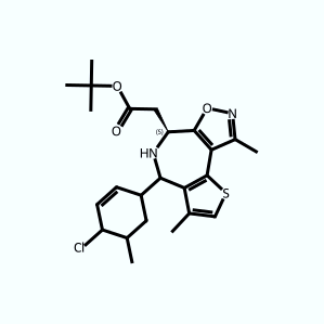 Cc1csc2c1C(C1C=CC(Cl)C(C)C1)N[C@@H](CC(=O)OC(C)(C)C)c1onc(C)c1-2